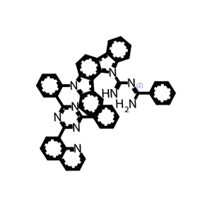 N=C(/N=C(\N)c1ccccc1)n1c2ccccc2c2ccc3c(c4ccccc4n3-c3ccccc3-c3nc(-c4ccccc4)nc(-c4cccc5cccnc45)n3)c21